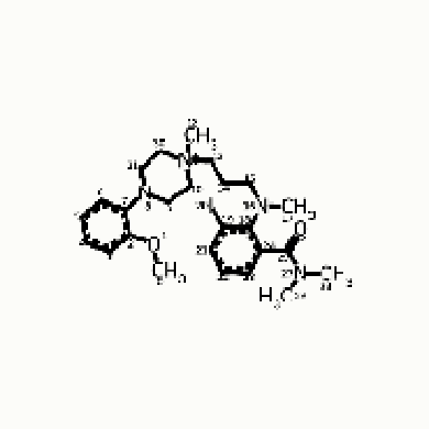 COc1ccccc1N1CC[N+](C)(CCCN(C)c2c(I)cccc2C(=O)N(C)C)CC1